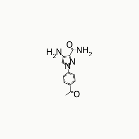 CC(=O)c1ccc(-n2cc(N)c(C(N)=O)n2)cc1